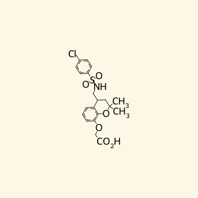 CC1(C)CC(CNS(=O)(=O)c2ccc(Cl)cc2)c2cccc(OCC(=O)O)c2O1